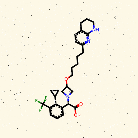 O=C(O)C(c1cccc(C(F)(F)F)c1C1CC1)N1CC(OCCCCCc2ccc3c(n2)NCCC3)C1